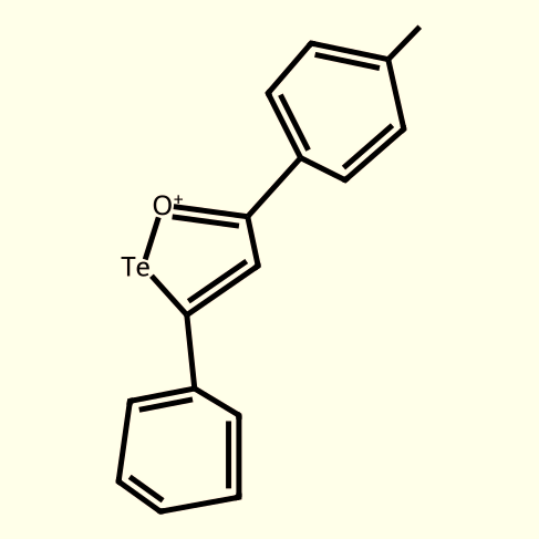 Cc1ccc(-c2cc(-c3ccccc3)[te][o+]2)cc1